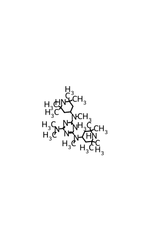 CN(C)c1nc(N(C)C2CC(C)(C)NC(C)(C)C2)nc(N(C)C2CC(C)(C)NC(C)(C)C2)n1